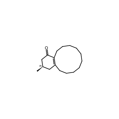 C[C@H]1CC(=O)C2=C(CCCCCCCCCC2)C1